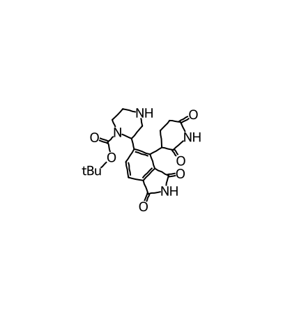 CC(C)(C)OC(=O)N1CCNCC1c1ccc2c(c1C1CCC(=O)NC1=O)C(=O)NC2=O